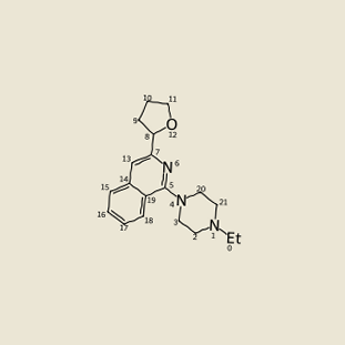 CCN1CCN(c2nc(C3CCCO3)cc3ccccc23)CC1